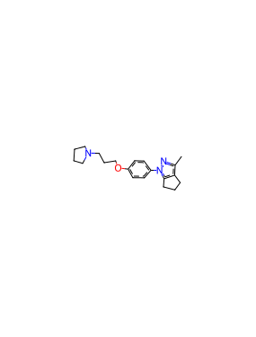 Cc1nn(-c2ccc(OCCCN3CCCC3)cc2)c2c1CCC2